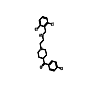 O=C(c1ccc(Cl)cc1)C1CCN(CCNCc2c(Cl)cccc2Cl)CC1